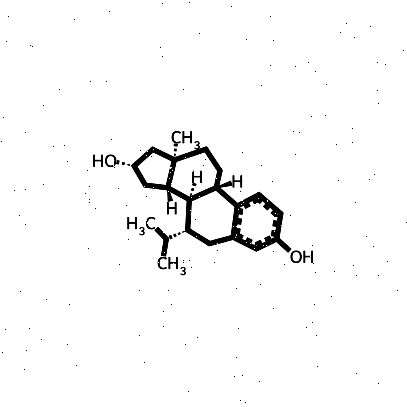 CC(C)[C@H]1Cc2cc(O)ccc2[C@H]2CC[C@]3(C)C[C@@H](O)C[C@H]3[C@@H]21